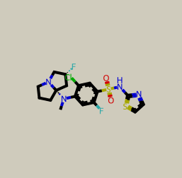 CN(c1cc(F)c(S(=O)(=O)Nc2nccs2)cc1Cl)[C@]12CCCN1C[C@H](F)C2